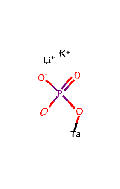 O=P([O-])([O-])[O][Ta].[K+].[Li+]